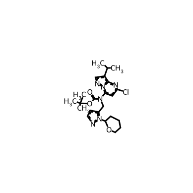 CC(C)c1cnn2c(N(Cc3ccnn3C3CCCCO3)C(=O)OC(C)(C)C)cc(Cl)nc12